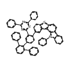 c1ccc(-c2nc(-c3ccccc3)nc(-c3cc(-c4c(-c5ccccc5)cccc4-c4ccccc4)ccc3-c3ccc4sc5ccc6c7ccccc7n(-c7ccccc7)c6c5c4c3)n2)cc1